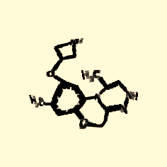 CC1=CNN=C2COc3cc(C)c(OC4CNC4)cc3N12